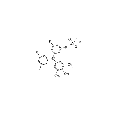 Cc1cc([S+](c2cc(F)cc(F)c2)c2cc(F)cc(F)c2)cc(C)c1O.O=S(=O)([O-])C(F)(F)F